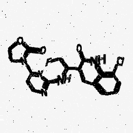 O=C1OCCN1c1ccnc(NC(CF)c2cc3cccc(Cl)c3[nH]c2=O)n1